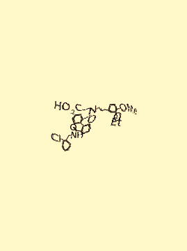 CCOc1cc(CCN(CCC(=O)O)C(=O)c2ccccc2-c2ccccc2C(=O)NCc2ccccc2Cl)ccc1OC